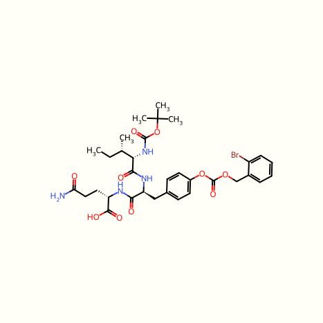 CC[C@H](C)[C@H](NC(=O)OC(C)(C)C)C(=O)N[C@@H](Cc1ccc(OC(=O)OCc2ccccc2Br)cc1)C(=O)N[C@@H](CCC(N)=O)C(=O)O